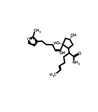 CC=CCCC(C(N)=O)C1C[C@@H](O)C[C@]1(O)/C(O)=C\CCCc1ccoc1C